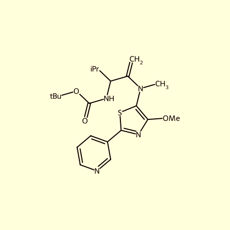 C=C(C(NC(=O)OC(C)(C)C)C(C)C)N(C)c1sc(-c2cccnc2)nc1OC